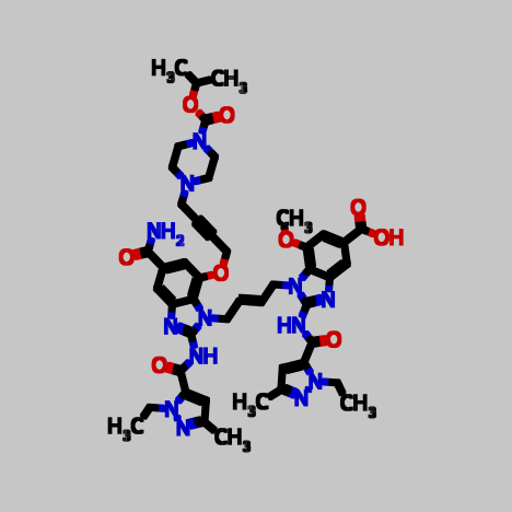 CCn1nc(C)cc1C(=O)Nc1nc2cc(C(=O)O)cc(OC)c2n1CC=CCn1c(NC(=O)c2cc(C)nn2CC)nc2cc(C(N)=O)cc(OCC#CCN3CCN(C(=O)OC(C)C)CC3)c21